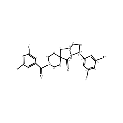 Cc1cc(F)cc(C(=O)N2CCC3(CC2)CN2CC[C@@H](c4cc(F)cc(F)c4)N2C3=O)c1